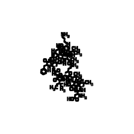 CC[C@H](C)[C@H](NC(=O)[C@H](CCCCN)NC(=O)[C@@H](NC(=O)[C@@H](NC(=O)[C@H](CC(C)C)NC(=O)[C@@H](N)CC(=O)O)[C@@H](C)O)C(C)C)C(=O)NCC(=O)N[C@@H](CC(=O)O)C(=O)N[C@@H](Cc1ccccc1)C(=O)NCC(=O)N[C@@H](CC(C)C)C(=O)N[C@@H](C)C(=O)N[C@H](C(=O)N[C@H](C(=O)N[C@@H](CCCCN)C(=O)O)C(C)C)[C@@H](C)O